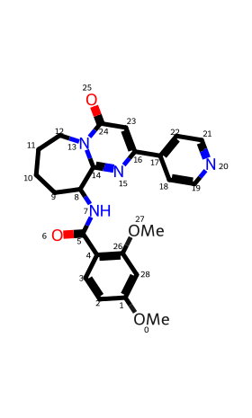 COc1ccc(C(=O)NC2CCCCn3c2nc(-c2ccncc2)cc3=O)c(OC)c1